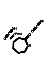 CCCCCC.N=C=O.N=C=O.O=C1CCCCCN1